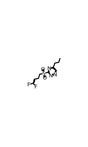 CCCc1cnnc(S(=O)(=O)CCC=C(F)F)n1